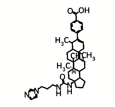 CC1C(c2ccc(C(=O)O)cc2)=CCC2(C)C1CCC1(C)C2CCC2C3CCCC3(NC(=O)NCCCn3ccnc3)CC[C@]21C